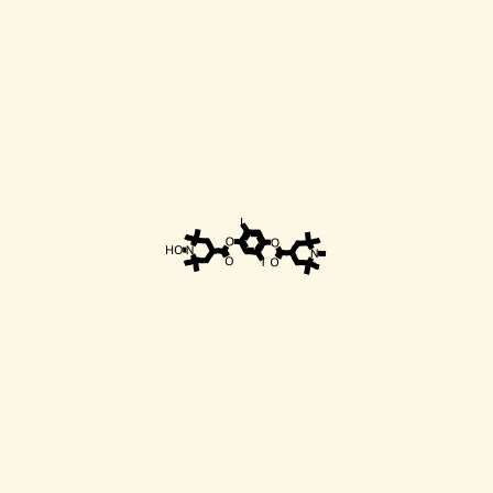 CN1C(C)(C)CC(C(=O)Oc2cc(I)c(OC(=O)C3CC(C)(C)N(O)C(C)(C)C3)cc2I)CC1(C)C